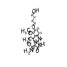 COc1c(OCCCCO)ccc2c1C(C)N1C(=N2)NC(=O)C1C(N)=O